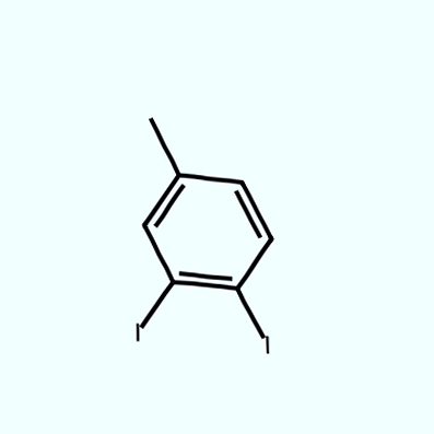 Cc1ccc(I)c(I)c1